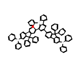 c1ccc(N(c2ccccc2)c2ccc3c(c2)C(c2ccccc2)(c2ccccc2)c2cc(-c4cc(-c5ccc6c(c5)C(c5ccccc5)(c5ccccc5)c5cc(N(c7ccccc7)c7ccccc7)ccc5-6)c5c(c4)c4ccccc4n5-c4ccccc4)ccc2-3)cc1